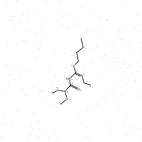 CCCCOC(=NCC)NC(=O)N(SC)SC